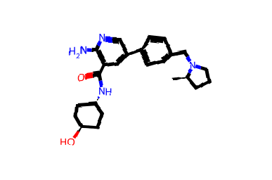 C[C@@H]1CCCN1Cc1ccc(-c2cnc(N)c(C(=O)N[C@H]3CC[C@H](O)CC3)c2)cc1